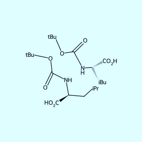 CC(C)C[C@H](NC(=O)OC(C)(C)C)C(=O)O.CC[C@@H](C)[C@H](NC(=O)OC(C)(C)C)C(=O)O